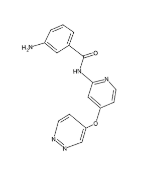 Nc1cccc(C(=O)Nc2cc(Oc3ccnnc3)ccn2)c1